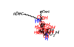 CCCCCCCCCCCCCCCCCCCCCC(=O)N[C@@H](CO[C@@H]1O[C@H](CO)[C@@H](O[C@@H]2O[C@H](CO)[C@H](O)[C@H](O[C@]3(C(=O)O)C[C@H](O)[C@@H](NC(=O)O)C([C@H](O)[C@H](O)CO)O3)[C@H]2O)[C@H](O)[C@H]1O)[C@H](O)CCCCCCCCCCCCCCC